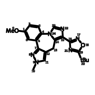 COc1ccc2c(c1)-c1nn(C)cc1Cc1c(-c3noc(C(C)(C)C)n3)ncn1-2